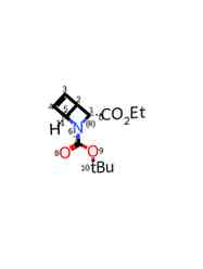 CCOC(=O)[C@H]1C2C=C[C@@H]2N1C(=O)OC(C)(C)C